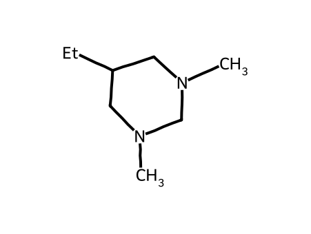 CCC1CN(C)CN(C)C1